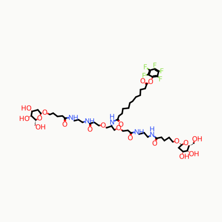 O=C(CCCCO[C@H]1C[C@@H](O)[C@@H](O)[C@@H](CO)O1)NCCCNC(=O)CCOCC(COCCC(=O)NCCCNC(=O)CCCCO[C@H]1C[C@@H](O)[C@@H](O)[C@@H](CO)O1)NC(=O)CCCCCCCCCCC(=O)Oc1c(F)c(F)c(F)c(F)c1F